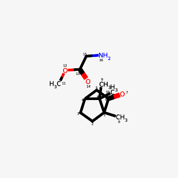 CC12CCC(CC1=O)C2(C)C.COC(=O)CN